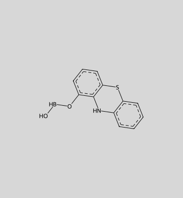 OBOc1cccc2c1Nc1ccccc1S2